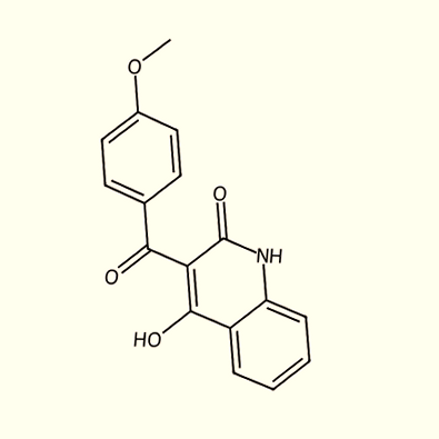 COc1ccc(C(=O)c2c(O)c3ccccc3[nH]c2=O)cc1